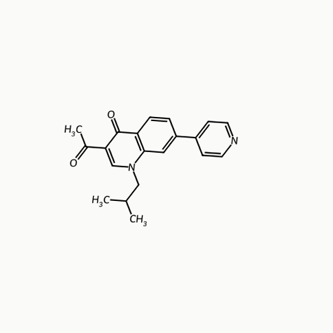 CC(=O)c1cn(CC(C)C)c2cc(-c3ccncc3)ccc2c1=O